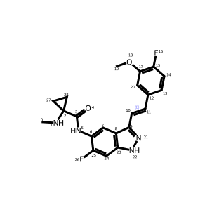 CNC1(C(=O)Nc2cc3c(/C=C/c4ccc(F)c(OC)c4)n[nH]c3cc2F)CC1